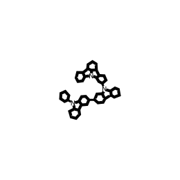 c1ccc(-n2c3ccccc3c3cc(-c4ccc5c6ccccc6n(-c6ccc7c8cccc9c%10ccccc%10n(c7c6)c98)c5c4)ccc32)cc1